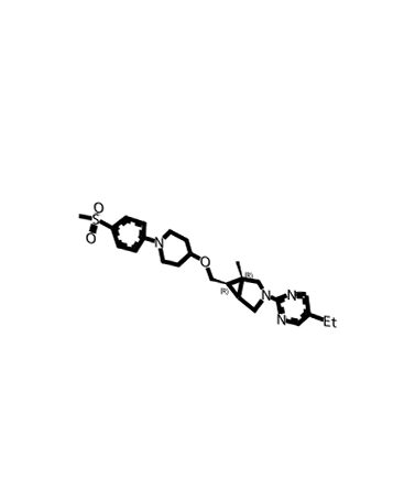 CCc1cnc(N2CC3[C@@H](COC4CCN(c5ccc(S(C)(=O)=O)cc5)CC4)[C@]3(C)C2)nc1